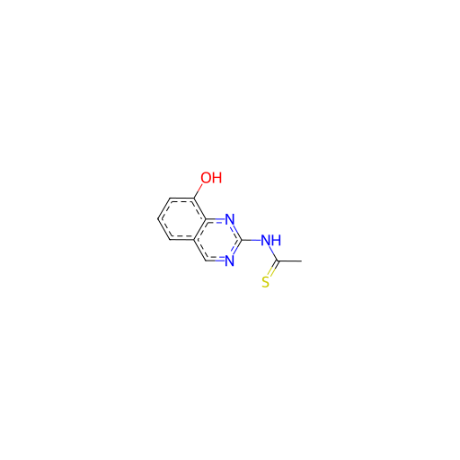 CC(=S)Nc1ncc2cccc(O)c2n1